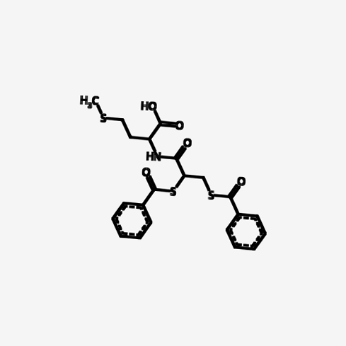 CSCCC(NC(=O)C(CSC(=O)c1ccccc1)SC(=O)c1ccccc1)C(=O)O